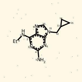 CCNc1nc(N)nc2c1ncn2CC1CC1